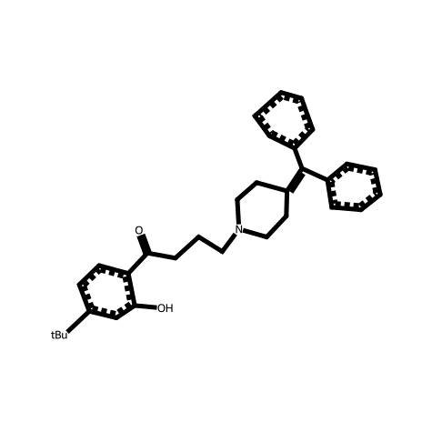 CC(C)(C)c1ccc(C(=O)CCCN2CCC(=C(c3ccccc3)c3ccccc3)CC2)c(O)c1